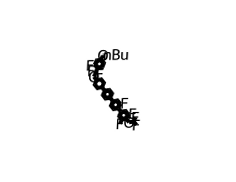 CCCCOc1ccc(C(F)(F)OC2CCC(c3ccc(-c4ccc(-c5cc(F)c(OC(F)F)c(F)c5)c(F)c4)cc3)CC2)c(F)c1